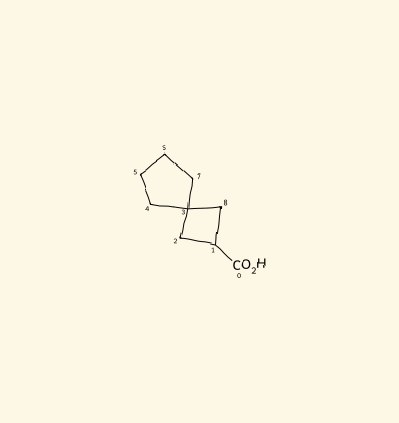 O=C(O)C1CC2(CCCC2)C1